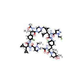 CCC(=O)N[C@@H](C(=O)N1CCN(CC2CC2C(C2CC2)[C@H](NC(=O)c2ccnn2CCF)C(=O)Nc2ccc([C@H](C)[C@@H](NC(=O)CC)C(=O)N3CCC(C)(O)CC3)cc2F)CC1)[C@@H](C)c1ccc(NC(=O)[C@@H](NC(=O)c2ccnn2CC(F)(F)F)C(C2CC2)C2CC2)c(F)c1